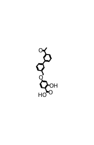 CC(=O)c1cccc(-c2cccc(COc3ccc(C(=O)O)c(O)c3)c2)c1